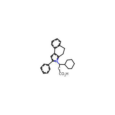 O=C(O)CC(C1CCCCC1)n1c(-c2ccccc2)cc2c1CCc1ccccc1-2